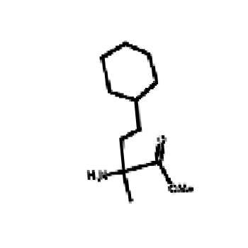 COC(=O)C(C)(N)CCC1CCCCC1